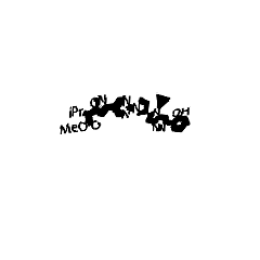 COC(=O)C(c1cc(-c2cnc(N3CC[C@@H](c4cc5nnc(-c6ccccc6O)cc5n4C4CC4)C3)nc2)no1)C(C)C